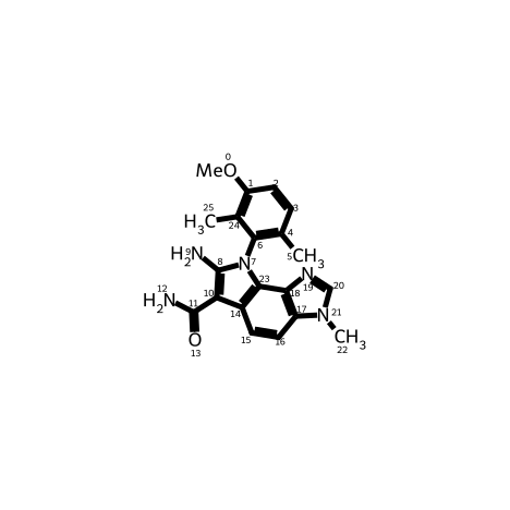 COc1ccc(C)c(-n2c(N)c(C(N)=O)c3ccc4c(ncn4C)c32)c1C